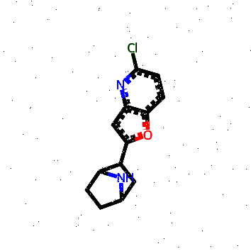 Clc1ccc2oc(C3CC4CCC3N4)cc2n1